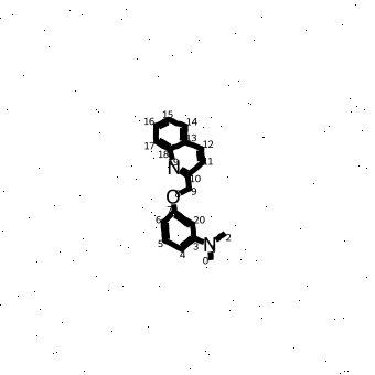 CN(C)c1cccc(OCc2ccc3ccccc3n2)c1